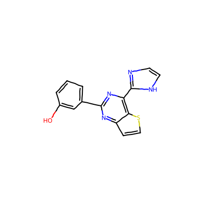 Oc1cccc(-c2nc(-c3ncc[nH]3)c3sccc3n2)c1